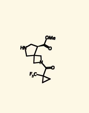 COC(=O)[C@@H]1CNCC12CN(C(=O)C1(C(F)(F)F)CC1)C2